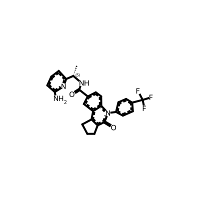 C[C@H](NC(=O)c1ccc2c(c1)c1c(c(=O)n2-c2ccc(C(F)(F)F)cc2)CCC1)c1cccc(N)n1